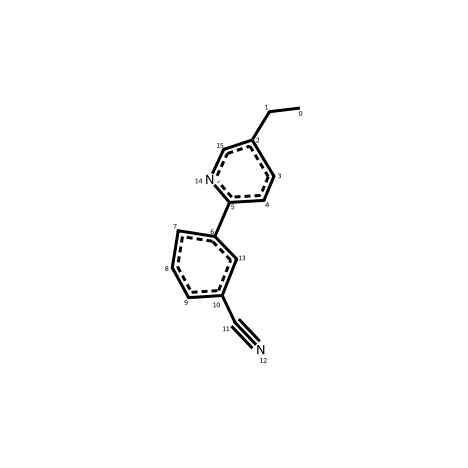 CCc1ccc(-c2cccc(C#N)c2)nc1